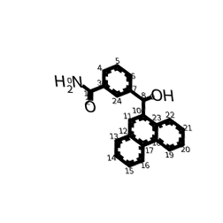 NC(=O)c1cccc(C(O)c2cc3ccccc3c3ccccc23)c1